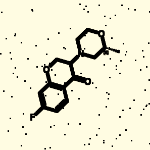 C[C@@H]1CN(C2COc3cc(F)ccc3C2=O)CCO1